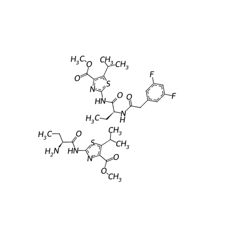 CC[C@H](N)C(=O)Nc1nc(C(=O)OC)c(C(C)C)s1.CC[C@H](NC(=O)Cc1cc(F)cc(F)c1)C(=O)Nc1nc(C(=O)OC)c(C(C)C)s1